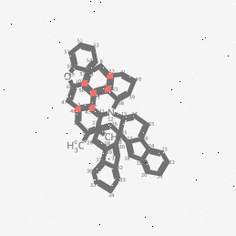 Cc1ccc(-c2ccccc2)c(N(C2=CC=C3C(=Cc4ccccc43)C23C=CC=C2C3=Cc3ccccc32)c2ccccc2-c2cccc3oc4ccccc4c23)c1C